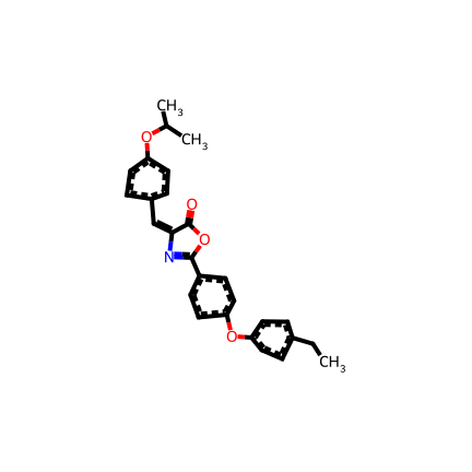 CCc1ccc(Oc2ccc(C3=NC(=Cc4ccc(OC(C)C)cc4)C(=O)O3)cc2)cc1